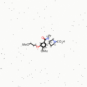 COCCCOc1cc(C(=O)N(C(C)C)[C@H]2CCCN(C(=O)O)C2)ccc1OC